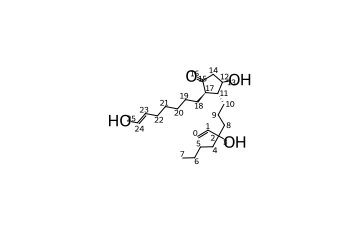 C=CC(O)(CCCC)CCC[C@H]1[C@H](O)CC(=O)[C@@H]1CCCCCC=CO